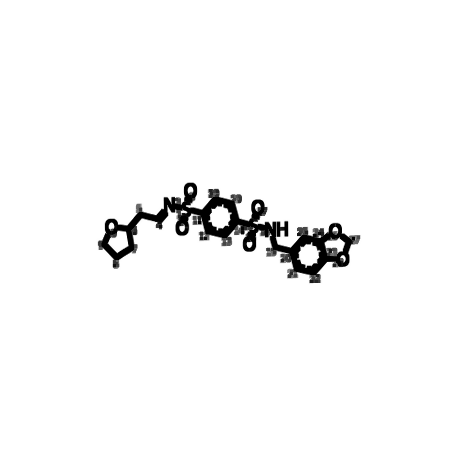 O=S(=O)(/N=C/CC1CCCO1)c1ccc(S(=O)(=O)NCc2ccc3c(c2)OCO3)cc1